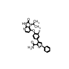 CC(C)n1c(=O)[nH]c2nccc(Oc3ccc(-c4cn(-c5ccccc5)nc4C(N)=O)cc3F)c21